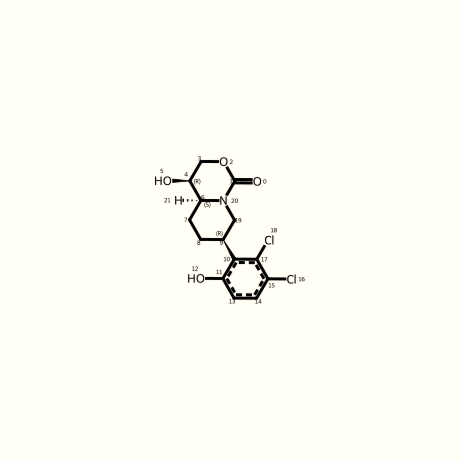 O=C1OC[C@H](O)[C@@H]2CC[C@H](c3c(O)ccc(Cl)c3Cl)CN12